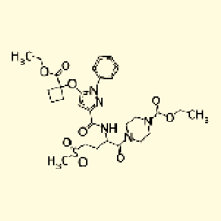 CCOC(=O)N1CCN(C(=O)C(CCS(C)(=O)=O)NC(=O)c2cc(OC3(C(=O)OCC)CCC3)n(-c3ccccc3)n2)CC1